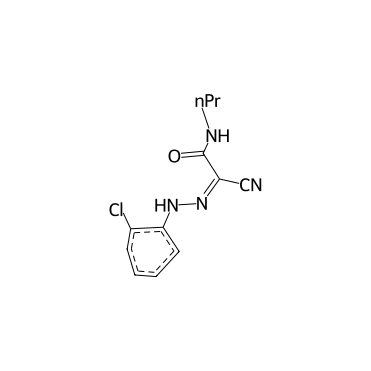 CCCNC(=O)C(C#N)=NNc1ccccc1Cl